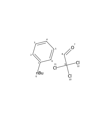 CCCCc1ccccc1.O=CC(Cl)(Cl)Cl